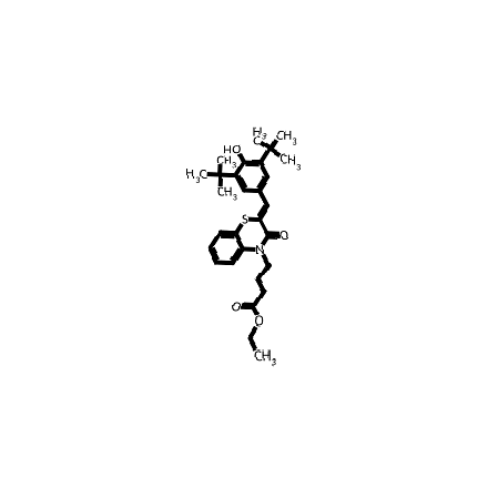 CCOC(=O)CCCN1C(=O)C(=Cc2cc(C(C)(C)C)c(O)c(C(C)(C)C)c2)Sc2ccccc21